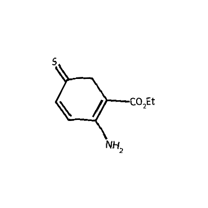 CCOC(=O)C1=C(N)C=CC(=S)C1